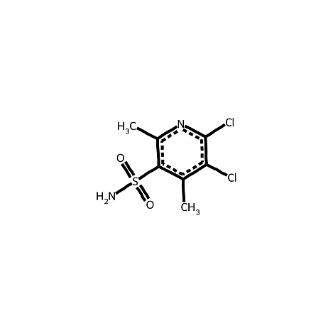 Cc1nc(Cl)c(Cl)c(C)c1S(N)(=O)=O